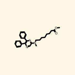 COC(=O)CCCCCCCN(C)c1cnc(-c2ccccc2)c(-c2ccccc2)n1